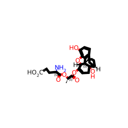 C[C@H](OC(=O)[C@@H](N)CCC(=O)O)C(=O)OC1=CC[C@@]2(O)[C@@H]3CCC[C@@]24c2c(ccc(O)c2O[C@@H]14)C3